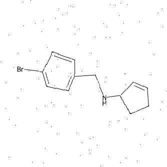 Brc1ccc(CNC2C=CCC2)cc1